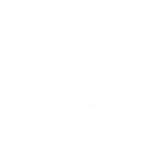 CC1Cc2ccc3c(ccc4ccccc43)c2C(O)(c2ccc3sccc3c2)C1.c1ccc2cnccc2c1